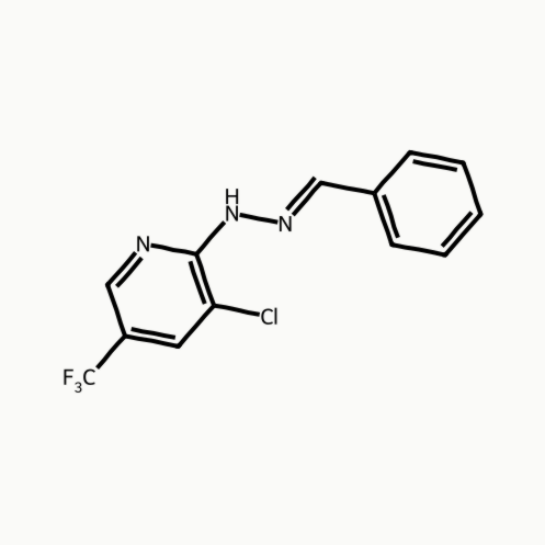 FC(F)(F)c1cnc(NN=Cc2ccccc2)c(Cl)c1